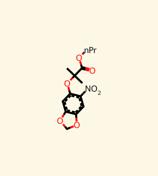 CCCOC(=O)C(C)(C)Oc1cc2c(cc1[N+](=O)[O-])OCO2